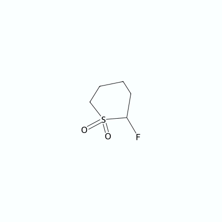 O=S1(=O)CCCCC1F